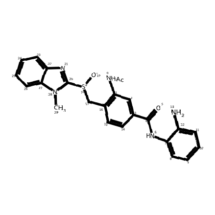 CC(=O)Nc1cc(C(=O)Nc2ccccc2N)ccc1C[S+]([O-])c1nc2ccccc2n1C